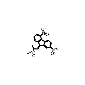 CC(C=C1c2cc([N+](=O)[O-])ccc2-c2c1cccc2[N+](=O)[O-])[N+](=O)[O-]